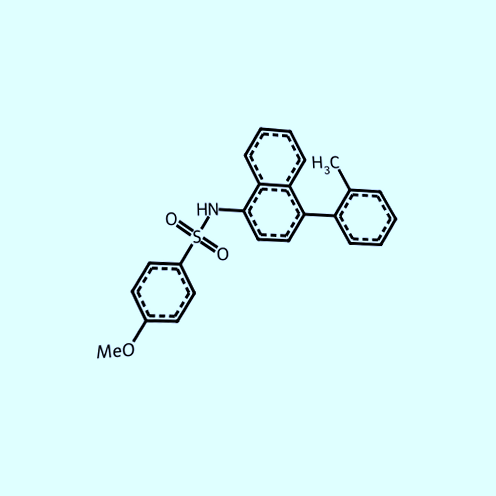 COc1ccc(S(=O)(=O)Nc2ccc(-c3ccccc3C)c3ccccc23)cc1